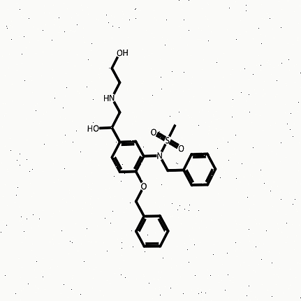 CS(=O)(=O)N(Cc1ccccc1)c1cc(C(O)CNCCO)ccc1OCc1ccccc1